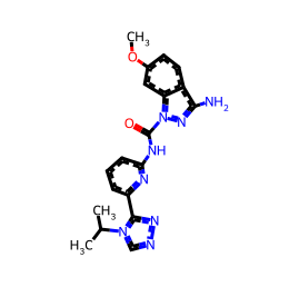 COc1ccc2c(N)nn(C(=O)Nc3cccc(-c4nncn4C(C)C)n3)c2c1